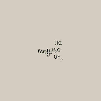 Cl.O.O.O.[Mn]